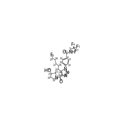 O=C(NCC(F)(F)F)c1ccc(-n2nnc(C(=O)N3CCC(O)C3)c2CCCCCF)cc1